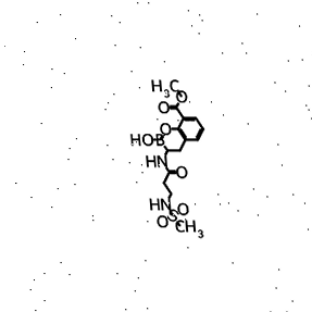 COC(=O)c1cccc2c1OB(O)C(NC(=O)CCNS(C)(=O)=O)C2